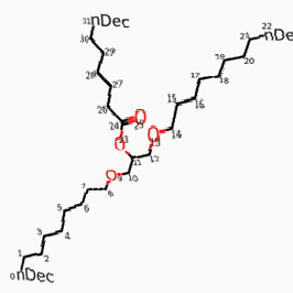 CCCCCCCCCCCCCCCCCCOCC(COCCCCCCCCCCCCCCCCCC)OC(=O)CCCCCCCCCCCCCCC